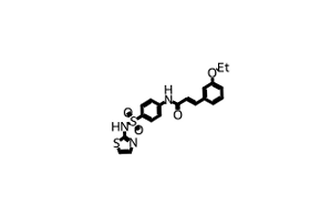 CCOc1cccc(/C=C/C(=O)Nc2ccc(S(=O)(=O)Nc3nccs3)cc2)c1